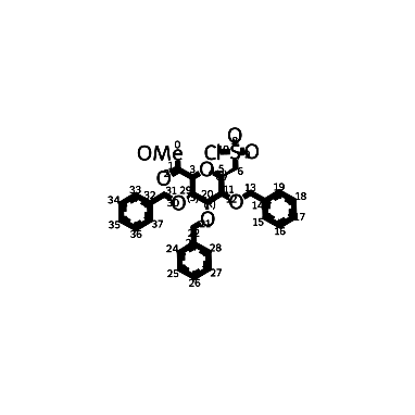 COC(=O)C1O[C@@H](CS(=O)(=O)Cl)C(OCc2ccccc2)[C@H](OCc2ccccc2)[C@@H]1OCc1ccccc1